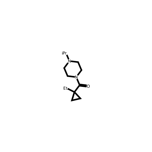 CCC1(C(=O)N2CCN(C(C)C)CC2)CC1